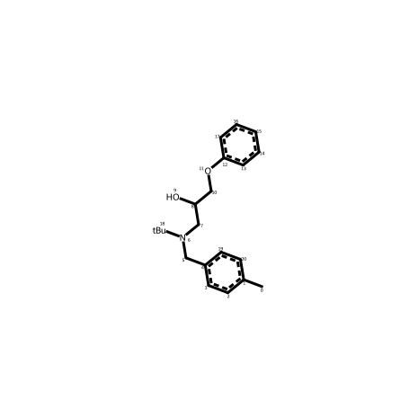 Cc1ccc(CN(CC(O)COc2ccccc2)C(C)(C)C)cc1